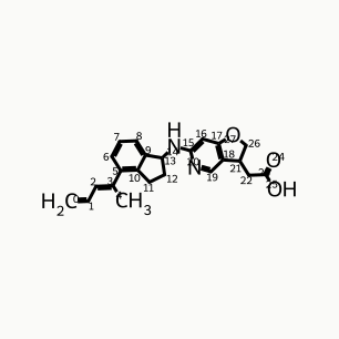 C=C/C=C(\C)c1cccc2c1CCC2Nc1cc2c(cn1)C(CC(=O)O)CO2